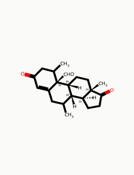 CC1CC2=CC(=O)CC(C)[C@]2(C=O)[C@@H]2CC[C@]3(C)C(=O)CC[C@H]3[C@H]12